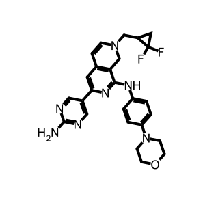 Nc1ncc(-c2cc3c(c(Nc4ccc(N5CCOCC5)cc4)n2)CN(CC2CC2(F)F)C=C3)cn1